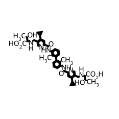 Cc1c(NC(=O)c2cc(C3CC3)c(CN[C@H](C(=O)O)[C@@H](C)O)cn2)cccc1-c1cccc(NC(=O)c2cc(C3CC3)c(CN[C@H](C(=O)O)[C@@H](C)O)cn2)c1C